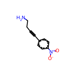 NCCC#Cc1ccc([N+](=O)[O-])cc1